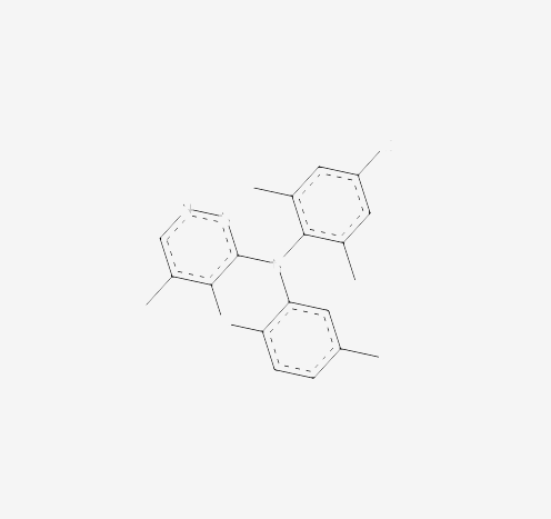 Cc1ccc2c(c1)N(c1c(C)cc(C(C)(C)C)cc1C)c1nncc(C)c1O2